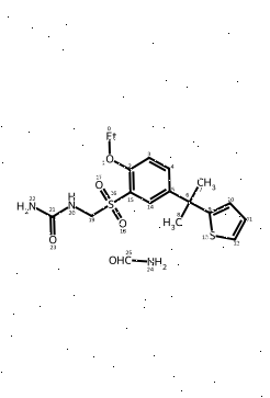 CCOc1ccc(C(C)(C)c2cccs2)cc1S(=O)(=O)CNC(N)=O.NC=O